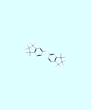 CC1(C)c2ccc(Oc3ccc4c(c3)C(C)(C)C(C)(C)C4(C)C)cc2C(C)(C)C1(C)C